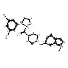 Cn1ncc2ccc(C[C@H]3CC[C@H](C(=O)N4OCC[C@H]4c4cc(F)cc(F)c4)CC3)cc21